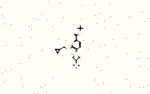 CCOC(=O)C(CC)(CC)NC(=O)c1ccc(N2CC(S(=O)(=O)F)C2)c(OCC2CC2)n1